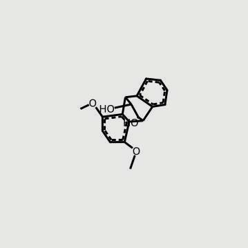 COc1ccc(OC)c2c1C1c3ccccc3C2C(O)C1O